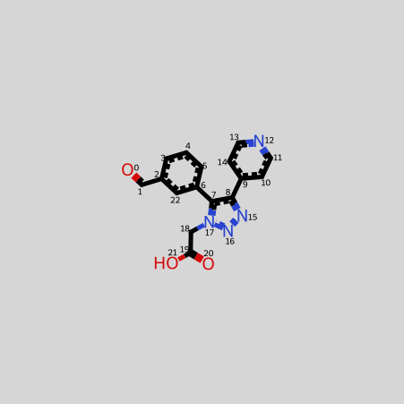 O=Cc1cccc(-c2c(-c3ccncc3)nnn2CC(=O)O)c1